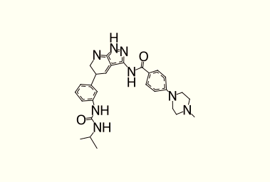 CC(C)NC(=O)Nc1cccc(C2C=c3c(NC(=O)c4ccc(N5CCN(C)CC5)cc4)n[nH]c3=NC2)c1